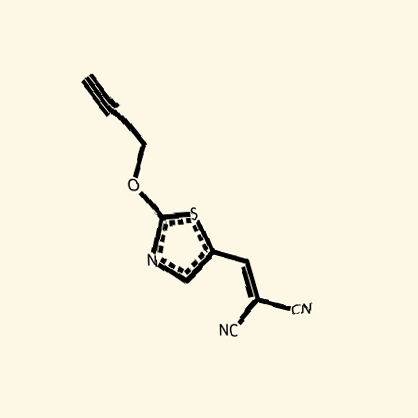 C#CCOc1ncc(C=C(C#N)C#N)s1